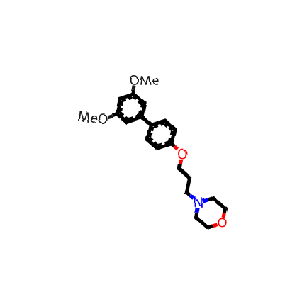 COc1cc(OC)cc(-c2ccc(OCCCN3CCOCC3)cc2)c1